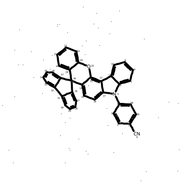 N#Cc1ccc(-n2c3ccccc3c3c4c(ccc32)C2(c3ccccc3O4)c3ccccc3-c3ccccc32)cc1